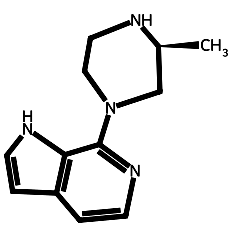 C[C@H]1CN(c2nccc3cc[nH]c23)CCN1